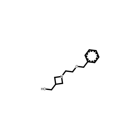 OCC1CN(CCOCc2ccccc2)C1